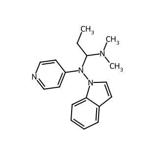 CCC(N(C)C)N(c1ccncc1)n1ccc2ccccc21